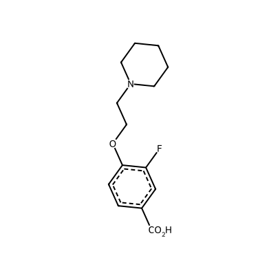 O=C(O)c1ccc(OCCN2CCCCC2)c(F)c1